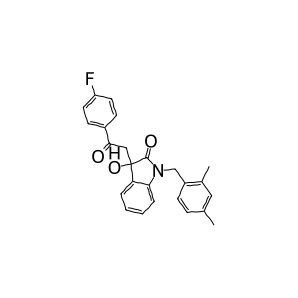 Cc1ccc(CN2C(=O)C(O)(CC(=O)c3ccc(F)cc3)c3ccccc32)c(C)c1